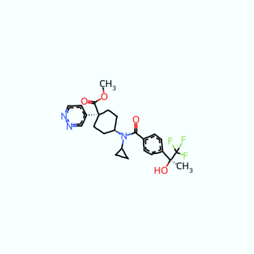 COC(=O)[C@]1(c2ccnnc2)CC[C@H](N(C(=O)c2ccc([C@](C)(O)C(F)(F)F)cc2)C2CC2)CC1